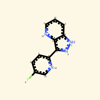 Fc1ccc(-c2n[nH]c3cccnc23)nc1